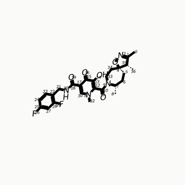 CC1=NO[C@@]2(CC[C@H](C)N(C(=O)c3c(O)c(=O)c(C(=O)NCc4ccc(F)cc4F)cn3C)CC2)[C@H]1C